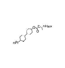 CCCCCC[C@H](C)OC(=O)O[C@H]1CC[C@H]([C@H]2CC[C@H](CCC)CC2)CC1